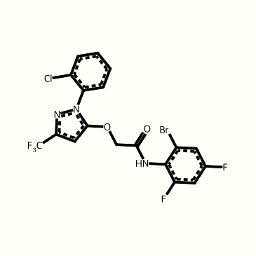 O=C(COc1cc(C(F)(F)F)nn1-c1ccccc1Cl)Nc1c(F)cc(F)cc1Br